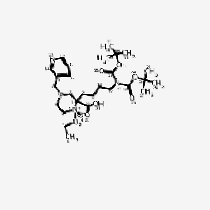 CCO[N+]1([O-])CCP(Cc2cccnc2)CC1(CCCCN(C(=O)OC(C)(C)C)C(=O)OC(C)(C)C)C(=O)O